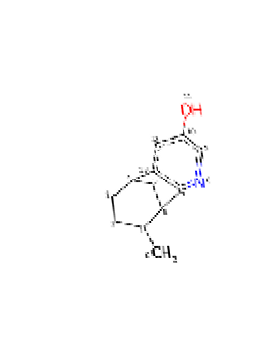 CC1CCC2CC1c1ncc(O)cc12